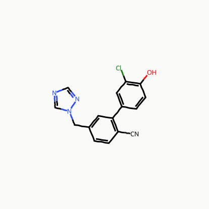 N#Cc1ccc(Cn2cncn2)cc1-c1ccc(O)c(Cl)c1